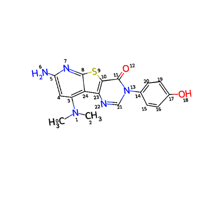 CN(C)c1cc(N)nc2sc3c(=O)n(-c4ccc(O)cc4)cnc3c12